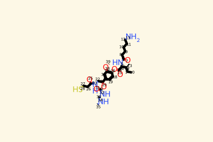 CC[C@H](C)[C@H](NC(=O)CCCCCN)C(=O)Oc1ccc(C(CNC(=O)CCS)OC(=O)NCNC)cc1OC